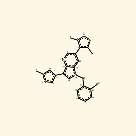 Cc1noc(C)c1-c1cnc2c(-c3cnn(C)c3)cn(Cc3ccccc3F)c2c1